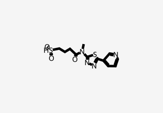 CN(C(=O)CCC[SH](=O)=O)c1nnc(-c2cccnc2)s1